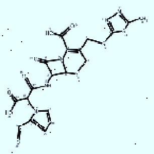 Cc1nnc(SCC2=C(C(=O)O)N3C(=O)C(NC(=O)C(C(=O)O)n4cccc4C=O)C3SC2)s1